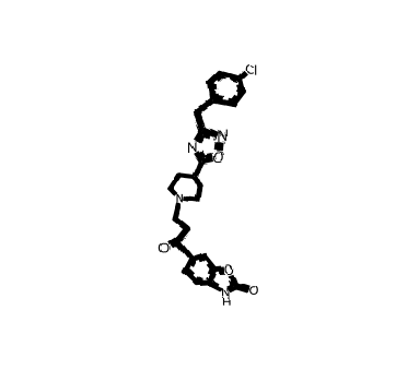 O=C(CCN1CCC(c2nc(Cc3ccc(Cl)cc3)no2)CC1)c1ccc2[nH]c(=O)oc2c1